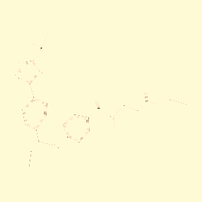 CCOC(=O)CCNC(=O)c1ccc(NC(c2ccc(-c3noc(C(C)(C)C)n3)cc2)C(C)C)cc1